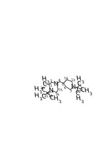 CC1CN(CC2CCN(C(C)(C)C)CC2)CCN1C(C)(C)C